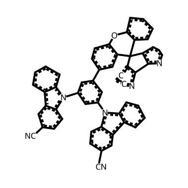 N#Cc1ccc2c(c1)c1ccccc1n2-c1cc(-c2ccc3c(c2)C2(c4ccccc4O3)c3cccnc3-c3ncccc32)cc(-n2c3ccccc3c3cc(C#N)ccc32)c1